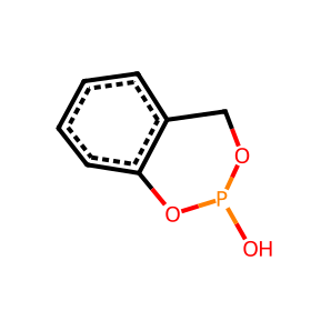 OP1OCc2ccccc2O1